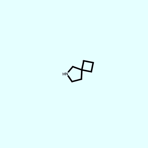 [CH]1CCC12CCNC2